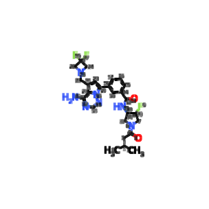 CC(C)CC(=O)N1C[C@H](F)[C@H](NC(=O)c2cccc(-c3cc(CN4CC(F)(F)C4)c4c(N)ncnn34)c2)C1